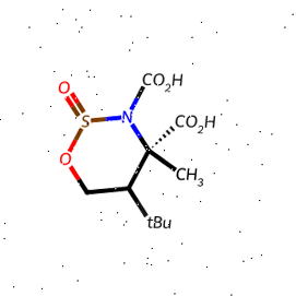 CC(C)(C)C1COS(=O)N(C(=O)O)[C@]1(C)C(=O)O